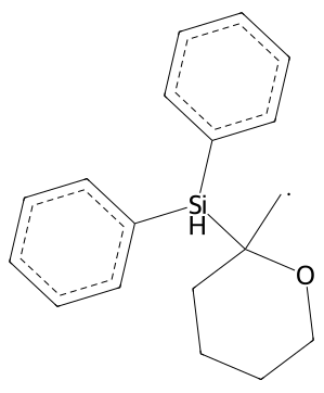 [CH2]C1([SiH](c2ccccc2)c2ccccc2)CCCCO1